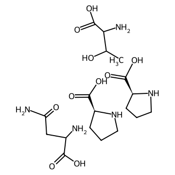 CC(O)C(N)C(=O)O.NC(=O)CC(N)C(=O)O.O=C(O)[C@@H]1CCCN1.O=C(O)[C@@H]1CCCN1